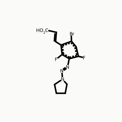 O=C(O)C=Cc1c(Br)cc(F)c(N=NN2CCCC2)c1F